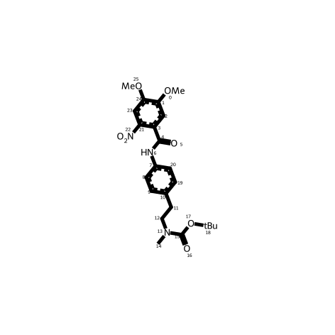 COc1cc(C(=O)Nc2ccc(CCN(C)C(=O)OC(C)(C)C)cc2)c([N+](=O)[O-])cc1OC